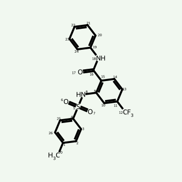 Cc1ccc(S(=O)(=O)Nc2cc(C(F)(F)F)ccc2C(=O)Nc2ccccc2)cc1